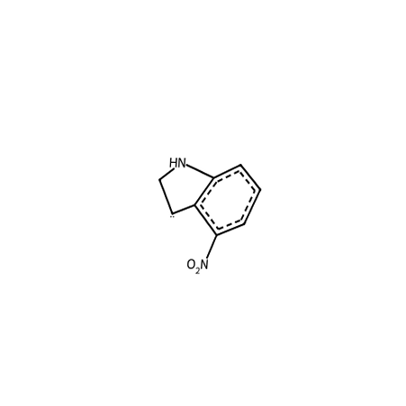 O=[N+]([O-])c1cccc2c1[C]CN2